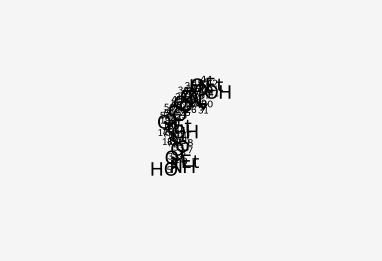 CCC(C(=O)NO)C1CC[C@H](C)C([C@@H](C)[C@H](O)[C@H](C)C(=O)[C@H](CC)[C@H]2O[C@]3(C=C[C@@H](NC4CC4)[C@]4(CC[C@@](C)([C@H]5CC[C@](O)(CC)[C@H](C)O5)O4)O3)[C@H](C)C[C@@H]2C)O1